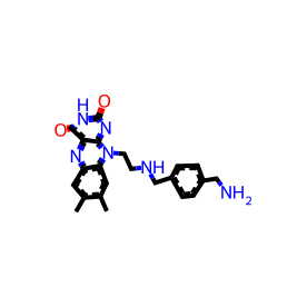 Cc1cc2nc3c(=O)[nH]c(=O)nc-3n(CCNCc3ccc(CN)cc3)c2cc1C